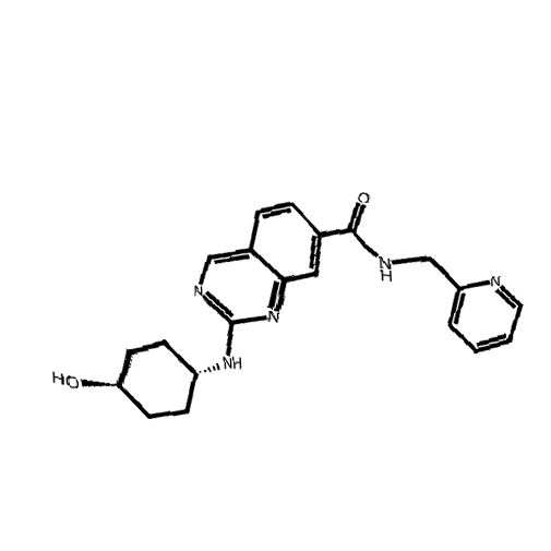 O=C(NCc1ccccn1)c1ccc2cnc(N[C@H]3CC[C@H](O)CC3)nc2c1